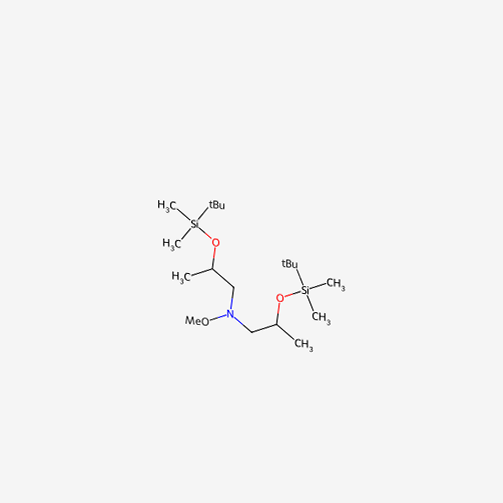 CON(CC(C)O[Si](C)(C)C(C)(C)C)CC(C)O[Si](C)(C)C(C)(C)C